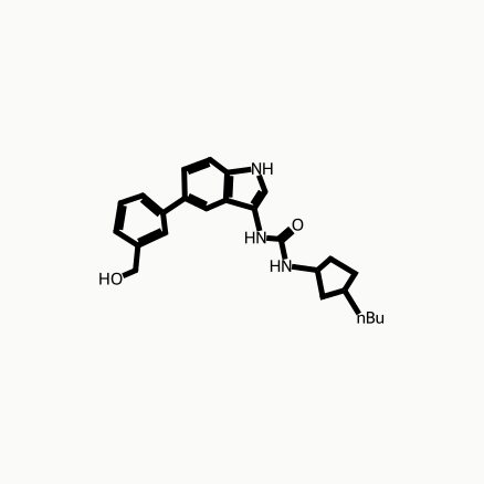 CCCCC1CCC(NC(=O)Nc2c[nH]c3ccc(-c4cccc(CO)c4)cc23)C1